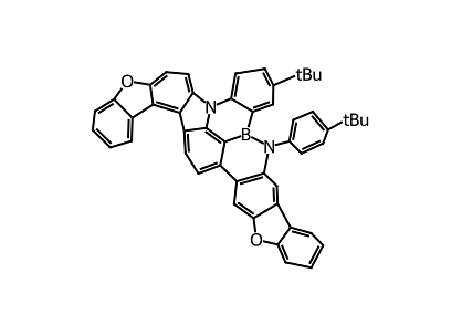 CC(C)(C)c1ccc(N2B3c4cc(C(C)(C)C)ccc4-n4c5ccc6oc7ccccc7c6c5c5ccc(c3c54)-c3cc4oc5ccccc5c4cc32)cc1